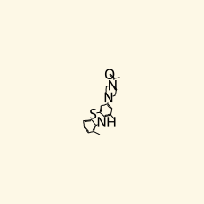 CC(=O)N1CCN(c2cc(C)c3c(c2)Sc2cccc(C)c2N3)CC1